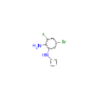 Nc1c(F)cc(Br)cc1NC1CCC1